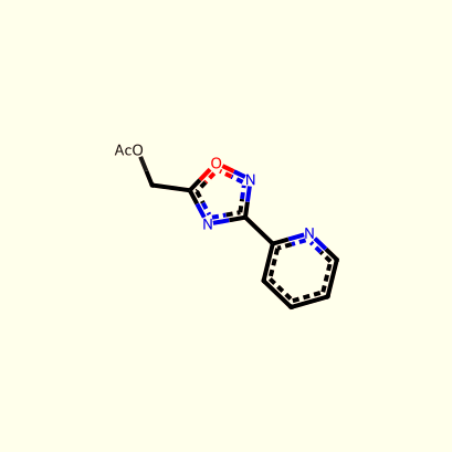 CC(=O)OCc1nc(-c2ccccn2)no1